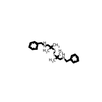 CC(C)(CNCc1ccccc1)SSC(C)(C)CNCc1ccccc1